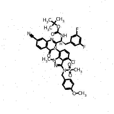 COc1ccc(CN(c2nn(C)c3c(-n4c([C@H](Cc5cc(F)cc(F)c5)NC(=O)OC(C)(C)C)nc5cc(C#N)ccc5c4=O)ccc(Cl)c23)S(C)(=O)=O)cc1